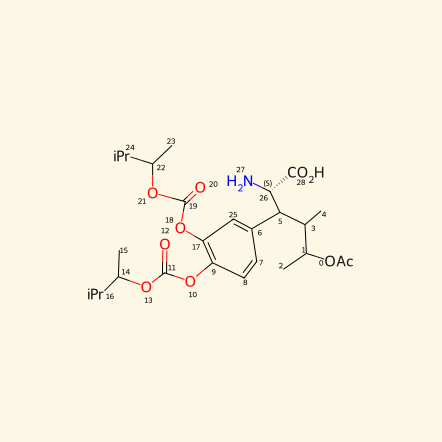 CC(=O)OC(C)C(C)C(c1ccc(OC(=O)OC(C)C(C)C)c(OC(=O)OC(C)C(C)C)c1)[C@H](N)C(=O)O